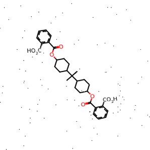 CC(C)(C1CCC(OC(=O)c2ccccc2C(=O)O)CC1)C1CCC(OC(=O)c2ccccc2C(=O)O)CC1